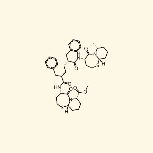 COC(=O)[C@@H]1CCC[C@@H]2SCC[C@H](NC(=O)[C@H](CC[C@H](Cc3ccccc3)C(=O)N[C@H]3CCS[C@H]4CCC[C@@H](C)N4C3=O)Cc3ccccc3)C(=O)N21